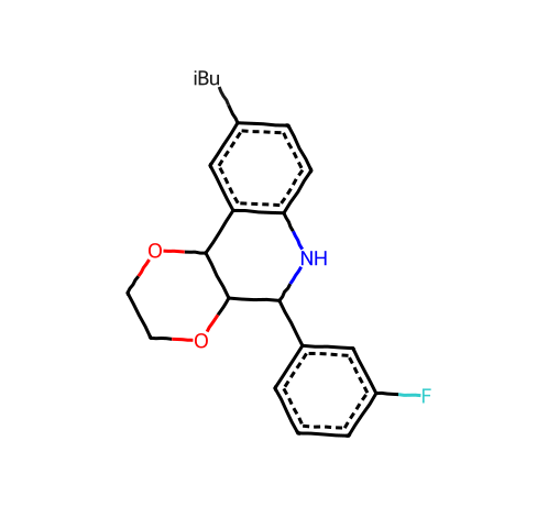 CCC(C)c1ccc2c(c1)C1OCCOC1C(c1cccc(F)c1)N2